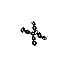 c1ccc(-c2ccc(-c3cc(-c4ccc(-c5ccccc5)cc4)c4nc(-c5ccc(-c6cccnc6)cc5)nc(-c5ccc(-c6cccnc6)cc5)c4c3)cc2)cc1